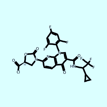 O=C(NC(C1CC1)C(F)(F)F)c1cn(-c2c(F)cc(F)cc2F)c2nc(N3C[C@@H](C(=O)Cl)OC3=O)ccc2c1=O